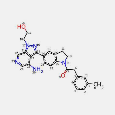 Cc1cccc(CC(=O)N2CCc3cc(-c4nn(CCO)c5cncc(N)c45)ccc32)c1